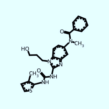 Cc1ccsc1NC(=O)Nc1nc2cc(N(C)C(=O)c3ccccc3)ccc2n1CCCO